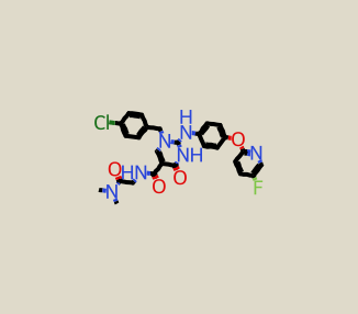 CN(C)C(=O)CNC(=O)C1=CN(Cc2ccc(Cl)cc2)C(Nc2ccc(Oc3ccc(F)cn3)cc2)NC1=O